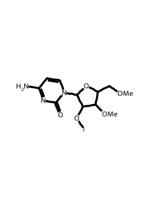 COCC1OC(n2ccc(N)nc2=O)C(OI)C1OC